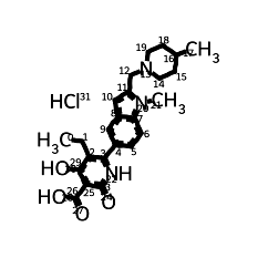 CCc1c(-c2ccc3c(c2)cc(CN2CCC(C)CC2)n3C)[nH]c(=O)c(C(=O)O)c1O.Cl